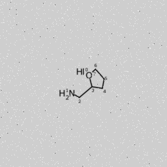 I.NCC1CCCO1